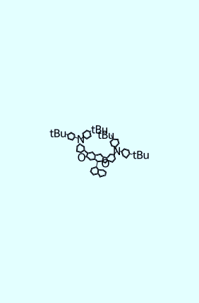 CC(C)(C)c1ccc(N(c2ccc(C(C)(C)C)cc2)c2ccc3oc4cc5c(-c6cccc7ccccc67)c6oc7ccc(N(c8ccc(C(C)(C)C)cc8)c8ccc(C(C)(C)C)cc8)cc7c6cc5cc4c3c2)cc1